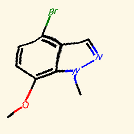 COc1ccc(Br)c2cnn(C)c12